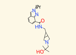 CC(C)n1cc2cccc(C(=O)NCC3C4CN(CC(C)(C)O)CC34)c2n1